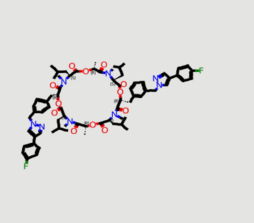 CC(C)C[C@H]1C(=O)O[C@H](Cc2cccc(Cn3cc(-c4ccc(F)cc4)cn3)c2)C(=O)N(C)[C@@H](CC(C)C)C(=O)O[C@H](C)C(=O)N(C)[C@@H](CC(C)C)C(=O)O[C@H](Cc2ccc(Cn3cc(-c4ccc(F)cc4)cn3)cc2)C(=O)N(C)[C@@H](CC(C)C)C(=O)O[C@H](C)C(=O)N1C